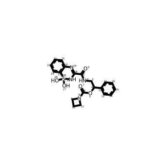 O=C(NCC(OC(=O)N1CCC1)c1ccccc1)C1=Nc2ccccc2S(O)(O)N1